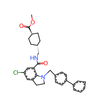 COC(=O)[C@H]1CC[C@H](CNC(=O)c2cc(Cl)cc3c2N(Cc2ccc(-c4ccccc4)cc2)CC3)CC1